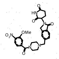 COc1cc(C(=O)N2CCN(Cc3ccc4c(c3)CN(C3CCC(=O)NC3=O)C4=O)CC2)ccc1[N+](=O)[O-]